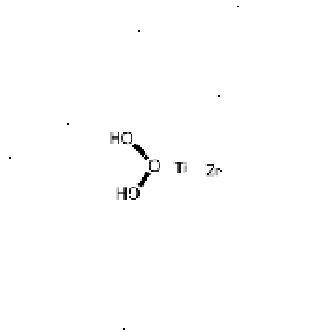 OOO.[Ti].[Zr]